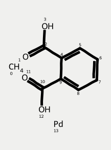 C.O=C(O)c1ccccc1C(=O)O.[Pd]